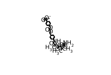 CC(C)[C@H](OC(N)=O)C(=O)N[C@@H](C)C(=O)Nc1ccc(COC(=O)Oc2ccc([N+](=O)[O-])cc2)cc1